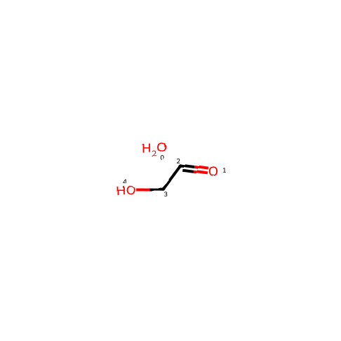 O.O=CCO